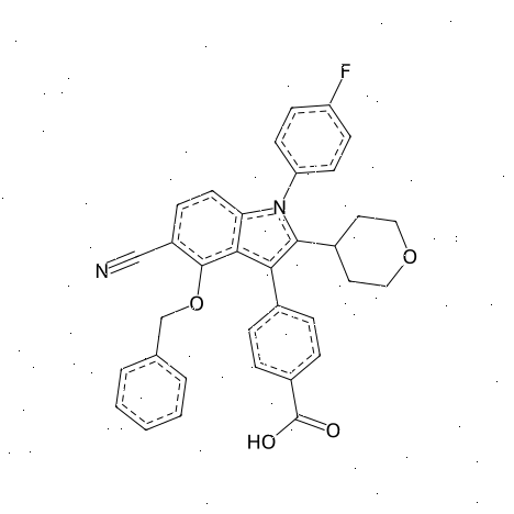 N#Cc1ccc2c(c1OCc1ccccc1)c(-c1ccc(C(=O)O)cc1)c(C1CCOCC1)n2-c1ccc(F)cc1